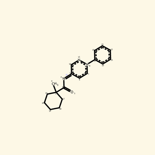 CC1(C(=O)/N=c2\ccn(-c3ccccc3)nc2)CCCCC1